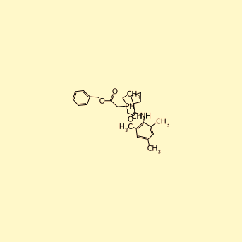 CC[PH](CC)(CC(=O)OCc1ccccc1)C1(C(=O)Nc2c(C)cc(C)cc2C)CCC1